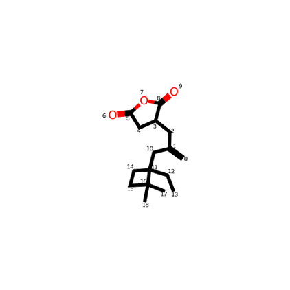 C=C(CC1CC(=O)OC1=O)CC1(CC)CCC1(C)C